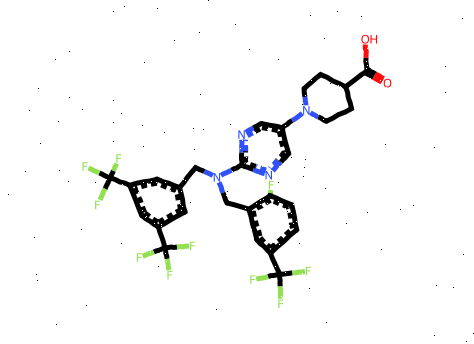 O=C(O)C1CCN(c2cnc(N(Cc3cc(C(F)(F)F)cc(C(F)(F)F)c3)Cc3cc(C(F)(F)F)ccc3F)nc2)CC1